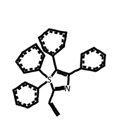 C=CC1=NC(c2ccccc2)=C(c2ccccc2)S1(c1ccccc1)c1ccccc1